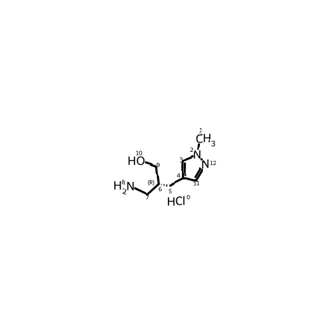 Cl.Cn1cc(C[C@H](CN)CO)cn1